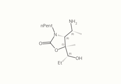 CCCCCN1C(=O)O[C@](C)([C@H](O)CC)[C@H]1[C@@H](C)N